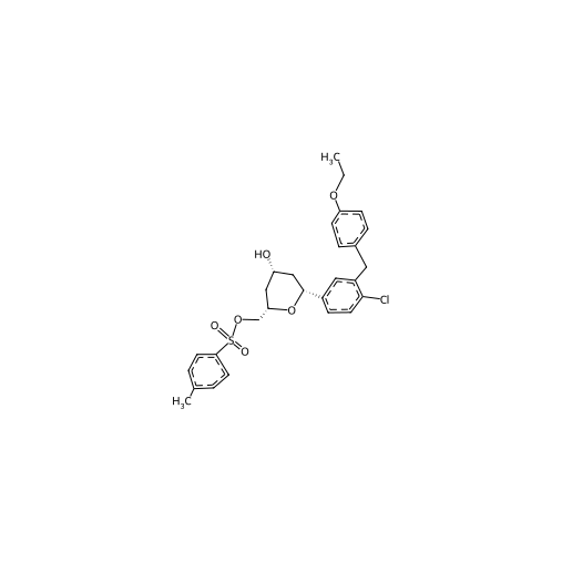 CCOc1ccc(Cc2cc([C@H]3C[C@@H](O)C[C@@H](COS(=O)(=O)c4ccc(C)cc4)O3)ccc2Cl)cc1